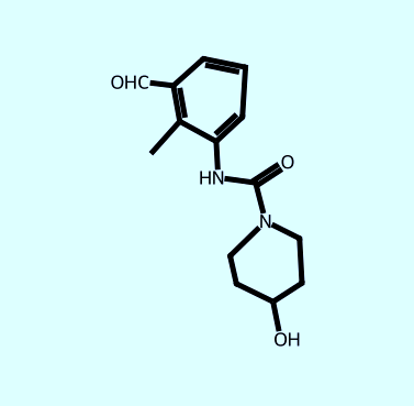 Cc1c(C=O)cccc1NC(=O)N1CCC(O)CC1